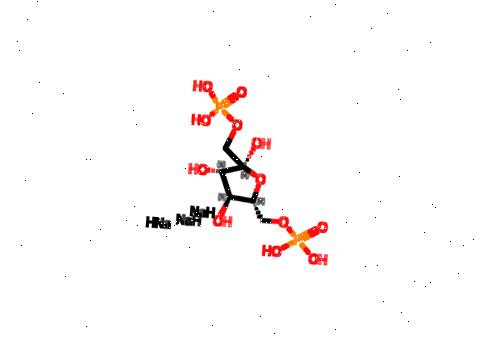 O=P(O)(O)OC[C@H]1O[C@](O)(COP(=O)(O)O)[C@@H](O)[C@@H]1O.[NaH].[NaH].[NaH]